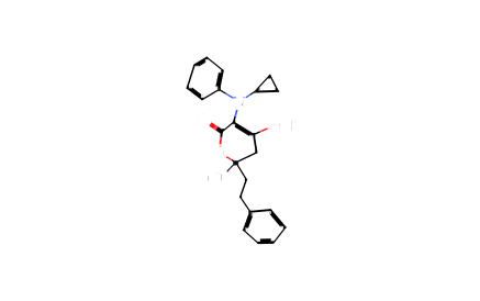 CCCC1(CCc2ccccc2)CC(O)=C(N(c2ccccc2)C2CC2)C(=O)O1